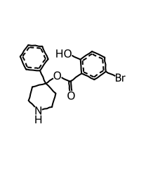 O=C(OC1(c2ccccc2)CCNCC1)c1cc(Br)ccc1O